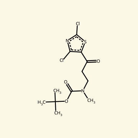 CN(CCC(=O)c1sc(Cl)nc1Cl)C(=O)OC(C)(C)C